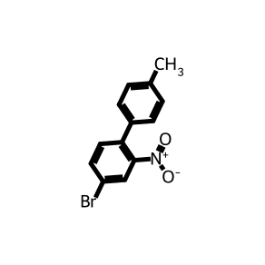 Cc1ccc(-c2ccc(Br)cc2[N+](=O)[O-])cc1